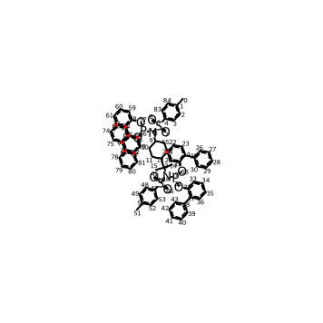 Cc1ccc(S(=O)(=O)N(C2CCC(C(C)(C)N(P(Oc3ccccc3-c3ccccc3)Oc3ccccc3-c3ccccc3)S(=O)(=O)c3ccc(C)cc3)CC2)P(Oc2ccccc2-c2ccccc2)Oc2ccccc2-c2ccccc2)cc1